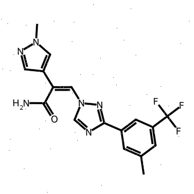 Cc1cc(-c2ncn(/C=C(\C(N)=O)c3cnn(C)c3)n2)cc(C(F)(F)F)c1